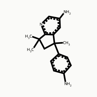 CC1(C)CC(C)(c2ccc(N)cc2)c2cc(N)cnc21